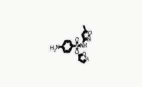 Cc1cc(NS(=O)(=O)c2ccc(N)cc2)no1.c1cnoc1